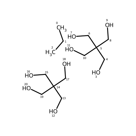 CCC.OCC(CO)(CO)CO.OCC(CO)(CO)CO